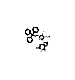 O[C@@H]1[C@H](O)[C@@H](COC(c2ccccc2)(c2ccccc2)c2ccccc2)O[C@H]1n1cnc2c(=S)[nH]c(F)nc21